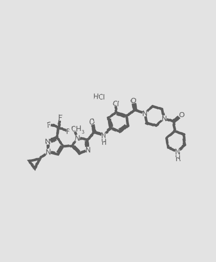 Cl.Cn1c(-c2cn(C3CC3)nc2C(F)(F)F)cnc1C(=O)Nc1ccc(C(=O)N2CCN(C(=O)C3CCNCC3)CC2)c(Cl)c1